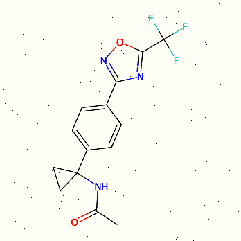 CC(=O)NC1(c2ccc(-c3noc(C(F)(F)F)n3)cc2)CC1